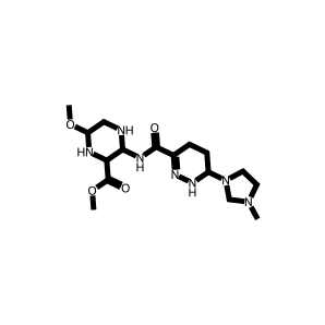 COC(=O)C1NC(OC)CNC1NC(=O)C1=NNC(N2CCN(C)C2)CC1